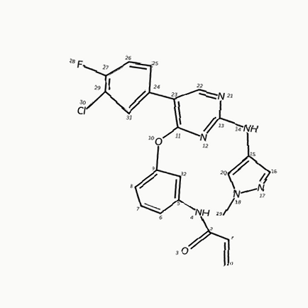 C=CC(=O)Nc1cccc(Oc2nc(Nc3cnn(C)c3)ncc2-c2ccc(F)c(Cl)c2)c1